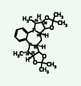 C[C@H]1[C@H]2OC(C)(C)OC2[C@@H]2C[C@H]3C4OC(C)(C)O[C@@H]4[C@H](C)P3c3ccccc3P21